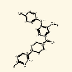 COc1cc(C(=O)N2CCC(c3ccc(C)nn3)CC2)ncc1Oc1ccc(Cl)cc1